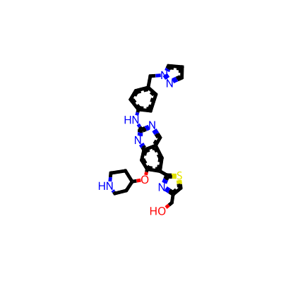 OCc1csc(-c2cc3cnc(Nc4ccc(Cn5cccn5)cc4)nc3cc2OC2CCNCC2)n1